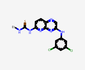 CCNC(=S)Nc1ccc2ncc(Nc3cc(Cl)cc(Cl)c3)nc2n1